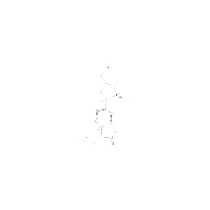 CCCN1C(=O)Cc2cc(N3CC(CN)OC3=O)ccc21